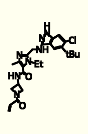 C=CC(=O)N1CC(NC(=O)c2c(C)nc(CNc3n[nH]c4cc(Cl)c(C(C)(C)C)cc34)n2CC)C1